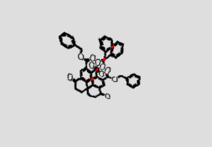 O=C(OCc1ccccc1)c1cc2c(cc1C(=O)OCc1ccccc1)C1(CCC2=O)CCC(=O)c2cc(C(=O)OCc3ccccc3)c(C(=O)OCc3ccccc3)cc21